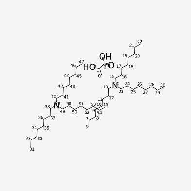 CC(O)C(=O)O.CCCCCCCCN(CCCCCCCC)CCCCCCCC.CCCCCCCCN(CCCCCCCC)CCCCCCCC